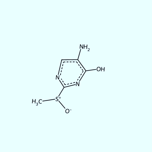 C[S+]([O-])c1ncc(N)c(O)n1